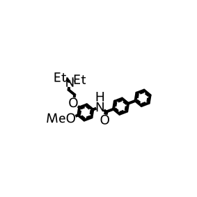 CCN(CC)CCOc1cc(NC(=O)c2ccc(-c3ccccc3)cc2)ccc1OC